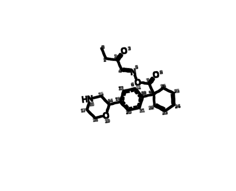 CCC(=O)C=NOC(=O)C1(c2ccc(C3CNCCO3)cc2)C=CC=CC1